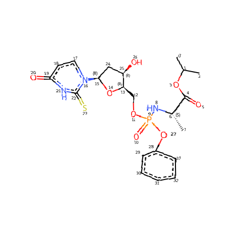 CC(C)OC(=O)[C@H](C)NP(=O)(OC[C@H]1O[C@@H](n2ccc(=O)[nH]c2=S)C[C@H]1O)Oc1ccccc1